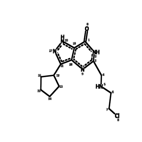 O=c1[nH]c(CNCCCl)nc2c(C3CCCC3)n[nH]c12